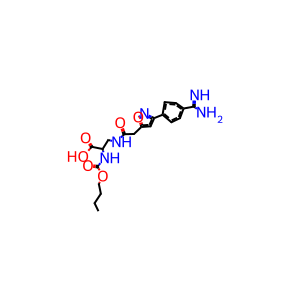 CCCCOC(=O)NC(CNC(=O)Cc1cc(-c2ccc(C(=N)N)cc2)no1)C(=O)O